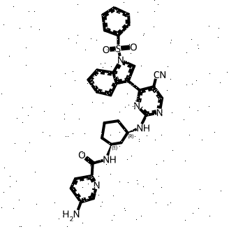 N#Cc1cnc(N[C@@H]2CCC[C@H](NC(=O)c3ccc(N)cn3)C2)nc1-c1cn(S(=O)(=O)c2ccccc2)c2ccccc12